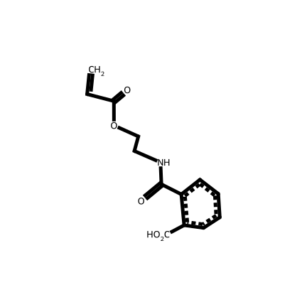 C=CC(=O)OCCNC(=O)c1ccccc1C(=O)O